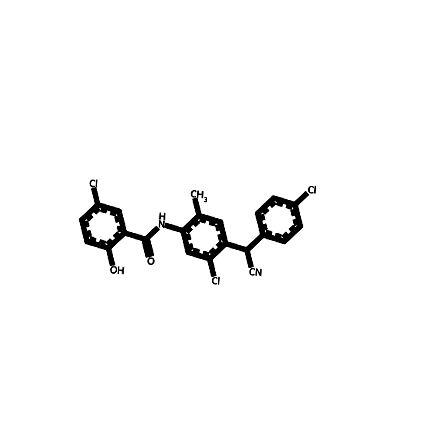 Cc1cc(C(C#N)c2ccc(Cl)cc2)c(Cl)cc1NC(=O)c1cc(Cl)ccc1O